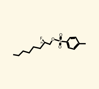 CCCCCC[C@@H](F)COS(=O)(=O)c1ccc(C)cc1